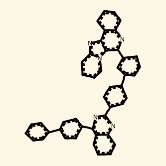 c1ccc(-c2ccc(-c3nc(-c4ccc(-c5cccc(-c6nc7ccccc7c7nc8ccccn8c67)c5)cc4)nc4ccccc34)cc2)cc1